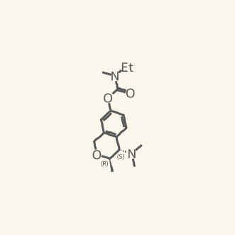 CCN(C)C(=O)Oc1ccc2c(c1)CO[C@H](C)[C@H]2N(C)C